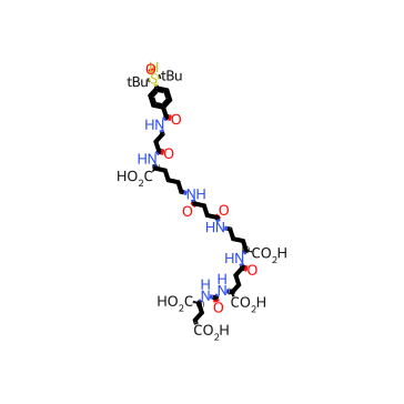 CC(C)(C)[SH](=O)(c1ccc(C(=O)NCCC(=O)N[C@H](CCCCNC(=O)CCC(=O)NCCC[C@@H](NC(=O)CC[C@H](NC(=O)N[C@@H](CCC(=O)O)C(=O)O)C(=O)O)C(=O)O)C(=O)O)cc1)C(C)(C)C